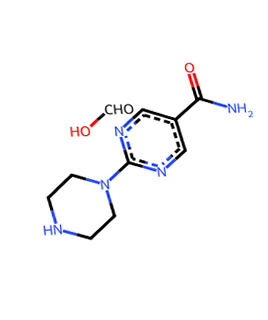 NC(=O)c1cnc(N2CCNCC2)nc1.O=CO